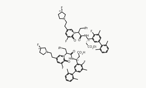 CCOC(=O)C[C@H](NC(=O)C(CC(C)C)n1cc(CCN2CC[C@@H](F)C2)cc(F)c1=O)c1cc(-c2c(C)cccc2C)cc(C)c1F.Cc1cc(-c2c(C)cccc2C)cc([C@H](CC(=O)O)NC(=O)C(CC(C)C)n2cc(CCN3CC[C@@H](F)C3)cc(F)c2=O)c1F